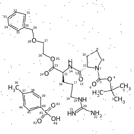 CC(C)(C)OC(=O)N1CCC[C@H]1C(=O)N[C@@H](CCCNC(=N)N)C(=O)OCCOCc1ccccc1.Cc1ccc(S(=O)(=O)O)cc1